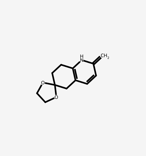 C=C1C=CC2=C(CCC3(C2)OCCO3)N1